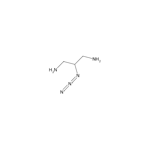 [N-]=[N+]=NC(CN)CN